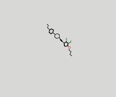 CCCCOc1ccc(C#CC2CCC(c3ccc(CCC)cc3)CC2)c(F)c1F